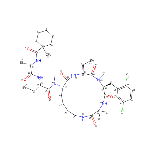 CC[C@H](NC(=O)C1(C(F)(F)F)CCCCC1)C(=O)N[C@@H](CC(C)C)C(=O)N(C)[C@H]1CCCCNC(=O)C(C)(C)NC(=O)[C@H](Cc2cc(Cl)ccc2Cl)N(C)C(=O)[C@H](CC(C)C)NC1=O